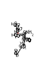 CC[C@@]1(O)C(=O)OCc2c1cc1n(c2=O)Cc2c-1nc1cc(F)c(C)c3c1c2[C@@H](NCCN(CC(N)=O)C(=O)[C@H](Cc1ccccc1)NC(=O)CNC(=O)CNC(=O)CCCCCN1C(=O)C=CC1=O)CC3